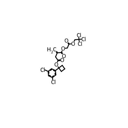 C=C(CC(=O)OC1(c2cc(Cl)cc(Cl)c2)CCC1)C(=O)OCC(=O)OCC(Cl)(Cl)Cl